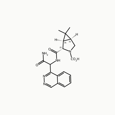 CC1(C)[C@@H]2[C@@H](C(=O)NC(C(N)=O)c3nncc4ccccc34)N(C(=O)O)C[C@@H]21